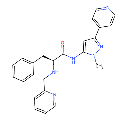 Cn1nc(-c2ccncc2)cc1NC(=O)[C@H](Cc1ccccc1)NCc1ccccn1